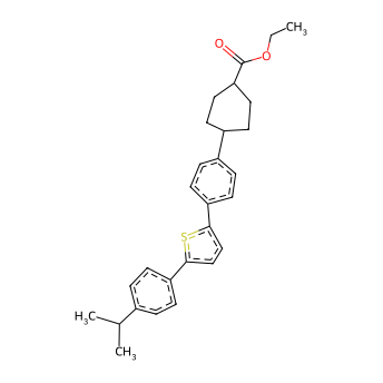 CCOC(=O)C1CCC(c2ccc(-c3ccc(-c4ccc(C(C)C)cc4)s3)cc2)CC1